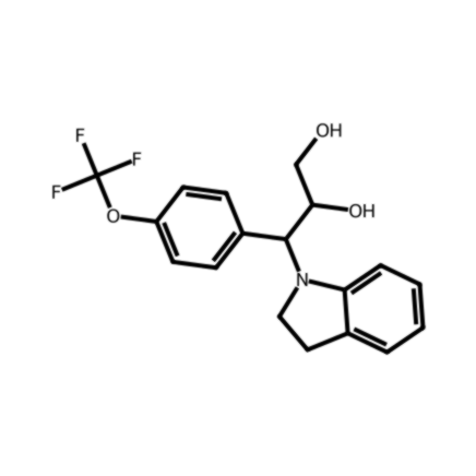 OCC(O)C(c1ccc(OC(F)(F)F)cc1)N1CCc2ccccc21